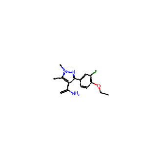 C=C(N)c1c(-c2ccc(OCC)c(F)c2)nn(C)c1C